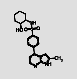 Cc1cc2c(-c3ccc(S(=O)(=O)N[C@@H]4CCCC[C@@H]4O)cc3)ccnc2[nH]1